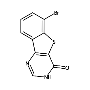 O=c1[nH]cnc2c1sc1c(Br)cccc12